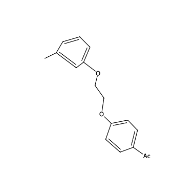 CC(=O)c1ccc(OCCOc2cccc(C)c2)cc1